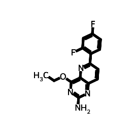 CCOc1nc(N)nc2ccc(-c3ccc(F)cc3F)nc12